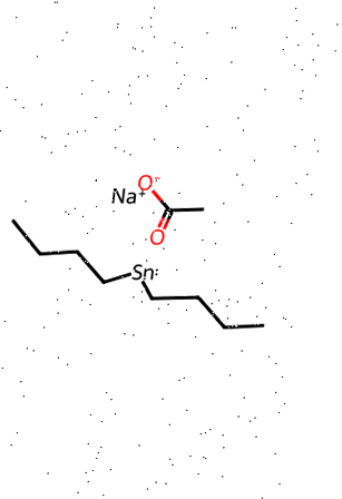 CC(=O)[O-].CCC[CH2][Sn][CH2]CCC.[Na+]